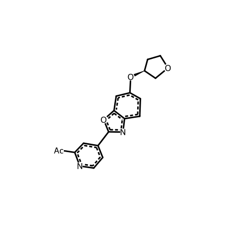 CC(=O)c1cc(-c2nc3ccc(O[C@H]4CCOC4)cc3o2)ccn1